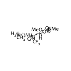 CNS(=O)(=O)c1ccc(NCC#Cc2cc3c(N[C@H]4CC[C@@H](N(C)C)CC4)cccc3n2CC(F)(F)F)c(OC)c1